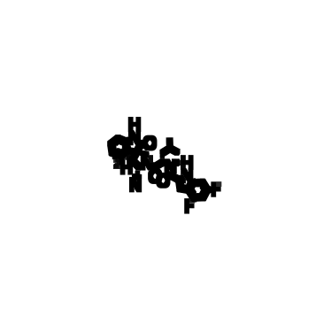 [2H]C1([2H])[C@@H](C#N)N(C(=O)[C@H](CC(C)C)N(C)C(=O)c2cc3c(F)cc(F)cc3[nH]2)C[C@@]12C(=O)Nc1ccccc12